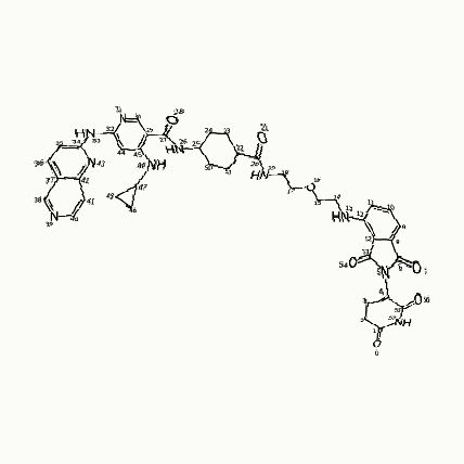 O=C1CCC(N2C(=O)c3cccc(NCCOCCNC(=O)C4CCC(NC(=O)c5cnc(Nc6ccc7cnccc7n6)cc5NC5CC5)CC4)c3C2=O)C(=O)N1